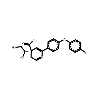 NC(=O)[C@@]1(C(O)CO)C=C(c2ccc(Oc3ccc(F)cc3)cc2)N=CC1